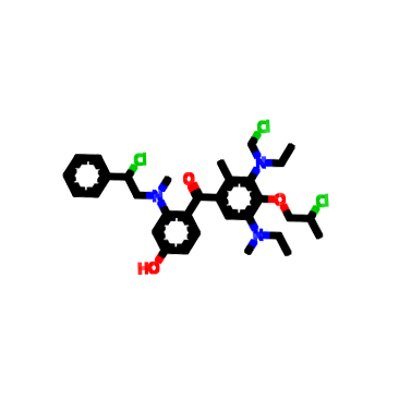 CCN(C)c1cc(C(=O)c2ccc(O)cc2N(C)CC(Cl)c2ccccc2)c(C)c(N(CC)CCl)c1OCC(C)Cl